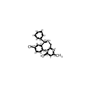 Cc1cc(=O)n2c(n1)CN=C(c1ccccc1)c1cc(Cl)ccc1-2